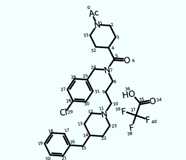 CC(=O)N1CCC(C(=O)N(CCCN2CCC(Cc3ccccc3)CC2)Cc2ccc(Cl)cc2)CC1.O=C(O)C(F)(F)F